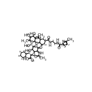 CCC1CC(C(=O)NCCNC(=O)c2nc(C)cs2)C[C@@H](O[C@@H]2O[C@@H](CO)C(O)C(O[C@@H](CC3CCCCC3)C(=O)O)C2NC(C)=O)C1OC1O[C@@H](C)[C@H](O)C(O)[C@@H]1O